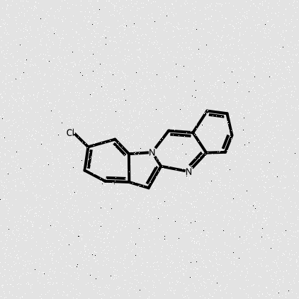 Clc1ccc2cc3nc4ccccc4cn3c2c1